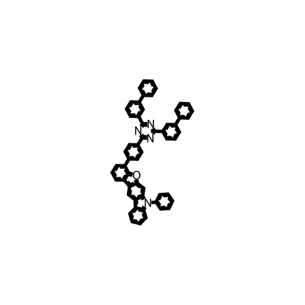 c1ccc(-c2cccc(-c3nc(-c4ccc(-c5cccc6c5oc5cc7c(cc56)c5ccccc5n7-c5ccccc5)cc4)nc(-c4cccc(-c5ccccc5)c4)n3)c2)cc1